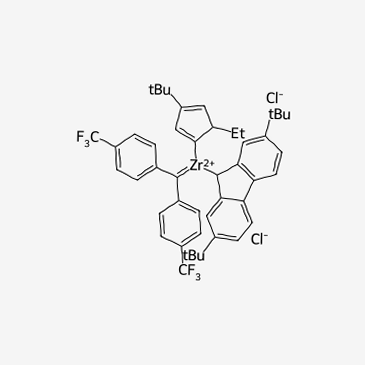 CCC1C=C(C(C)(C)C)C=[C]1[Zr+2](=[C](c1ccc(C(F)(F)F)cc1)c1ccc(C(F)(F)F)cc1)[CH]1c2cc(C(C)(C)C)ccc2-c2ccc(C(C)(C)C)cc21.[Cl-].[Cl-]